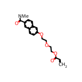 C=CC(=O)OCCOCCOc1ccc2cc(C(=O)NC)ccc2c1